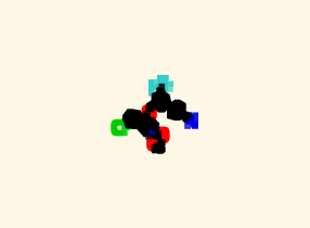 CC(C)(C)OC(=O)N1CCC(COCc2cc(-c3ccc(C#N)cc3)cc(C(F)(F)F)c2)(c2cccc(Cl)c2)CC1